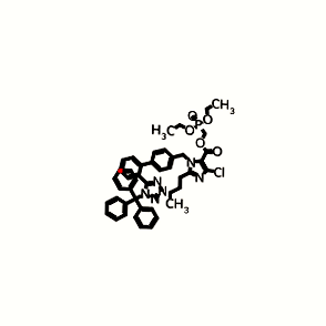 CCCCc1nc(Cl)c(C(=O)OCP(=O)(OCC)OCC)n1Cc1ccc(-c2ccccc2-c2nnnn2C(c2ccccc2)(c2ccccc2)c2ccccc2)cc1